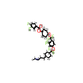 C/C=C/CCC1CCC(C(F)(F)Oc2ccc(C(F)(F)OC3CCC(OC(=O)c4ccc(F)c(F)c4)CC3)c(F)c2)CC1